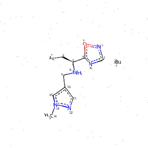 CC[C@H](C)c1noc([C@H](CC(C)=O)NCc2cnn(C)c2)n1